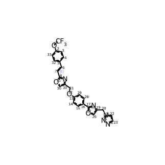 FC(F)(F)Oc1ccc(/C=C/c2nc(COc3ccc(-c4nc(Cn5ccnn5)co4)cc3)co2)cc1